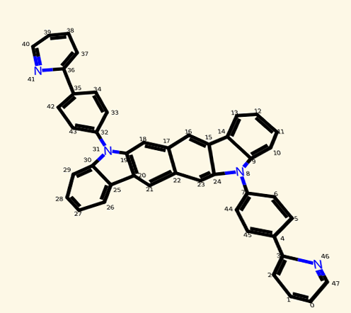 c1ccc(-c2ccc(-n3c4ccccc4c4cc5cc6c(cc5cc43)c3ccccc3n6-c3ccc(-c4ccccn4)cc3)cc2)nc1